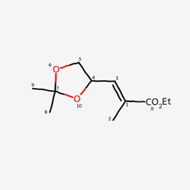 CCOC(=O)C(C)=CC1COC(C)(C)O1